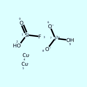 O=[Si](O)F.[Cu].[Cu].[O-][I+2]([O-])O